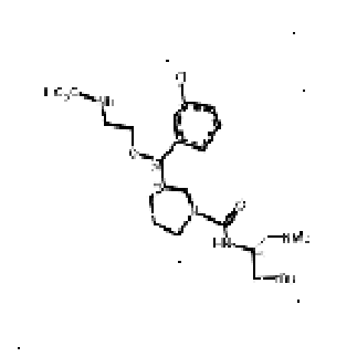 CNC[C@H](CC(C)(C)C)NC(=O)N1CCC[C@@H]([C@@H](OCCNC(=O)O)c2cccc(Cl)c2)C1